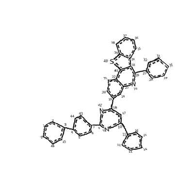 c1ccc(-c2ccc(-c3nc(-c4ccccc4)cc(-c4ccc5c(c4)nc(-c4ccccc4)c4c6ccccc6sc54)n3)cc2)cc1